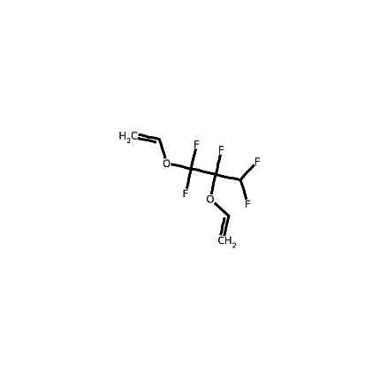 C=COC(F)(F)C(F)(OC=C)C(F)F